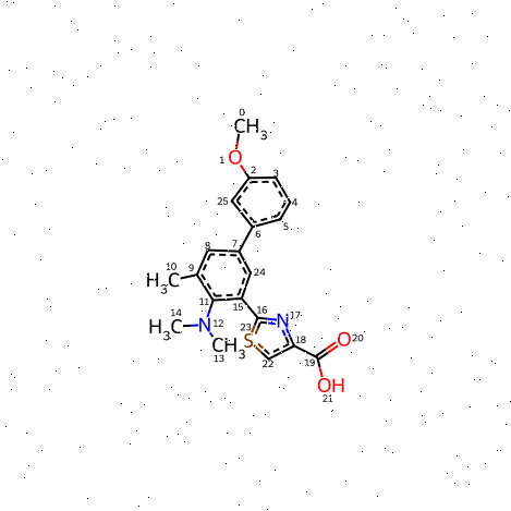 COc1cccc(-c2cc(C)c(N(C)C)c(-c3nc(C(=O)O)cs3)c2)c1